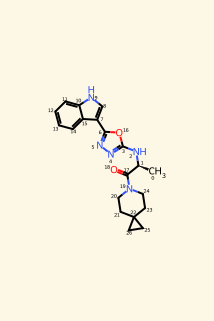 C[C@H](Nc1nnc(-c2c[nH]c3ccccc23)o1)C(=O)N1CCC2(CC1)CC2